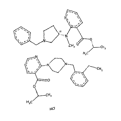 CC(C)OC(=O)c1cccnc1N(C)[C@H]1CCN(Cc2ccccc2)C1.CCc1ccccc1CN1CCN(c2ncccc2C(=O)OC(C)C)CC1.Cl